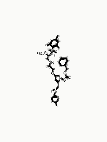 Cc1ccc(NCC2CC(OCC(=O)NCC(NS(=O)(=O)c3c(C)cc(C)cc3C)C(=O)O)CN2OC(=O)OCc2ccccc2)nc1